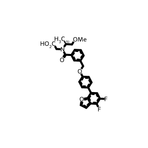 COC[C@H](C)N(CC(=O)O)C(=O)c1cccc(COc2ccc(-c3cc(F)c(F)c4ccoc34)cc2)c1